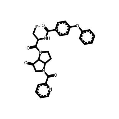 CC(C)CC(NC(=O)c1ccc(Oc2ccccc2)cc1)C(=O)N1CCC2C1C(=O)CN2C(=O)c1ccccn1